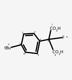 CC(C)(C)c1ccc(C(F)(C(=O)O)C(=O)O)cc1